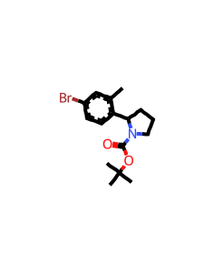 Cc1cc(Br)ccc1C1CCCN1C(=O)OC(C)(C)C